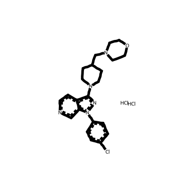 Cl.Cl.Clc1ccc(-n2nc(N3CCC(CN4CCOCC4)CC3)c3ccncc32)cc1